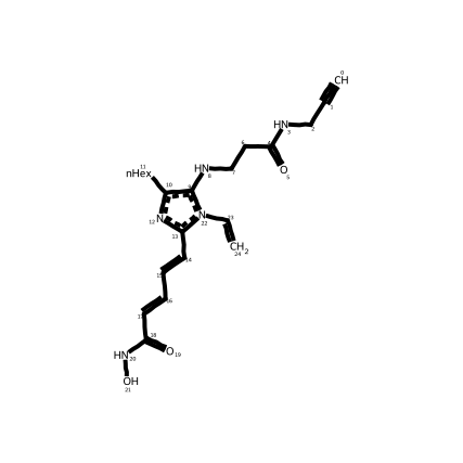 C#CCNC(=O)CCNc1c(CCCCCC)nc(/C=C/C=C/C(=O)NO)n1C=C